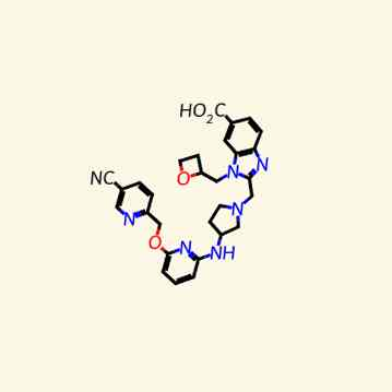 N#Cc1ccc(COc2cccc(NC3CCN(Cc4nc5ccc(C(=O)O)cc5n4CC4CCO4)C3)n2)nc1